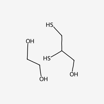 OCC(S)CS.OCCO